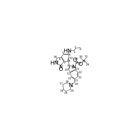 CCCNc1cc2c(c(-c3cc4cc(CN5CCCCC5)ccc4n3C(=O)OC(C)(C)C)c1)C(=O)NC2